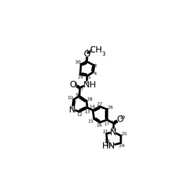 COc1ccc(NC(=O)c2cncc(-c3ccc(C(=O)N4CCNCC4)cc3)c2)cc1